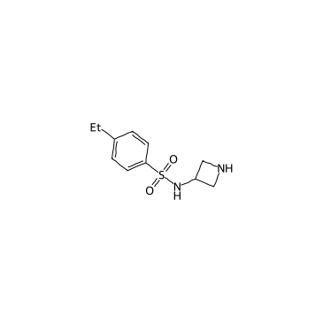 CCc1ccc(S(=O)(=O)NC2CNC2)cc1